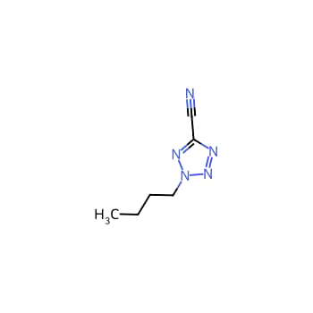 CCCCn1nnc(C#N)n1